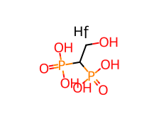 O=P(O)(O)C(CO)P(=O)(O)O.[Hf]